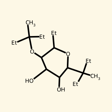 CCC1OC(C(C)(CC)CC)C(O)C(O)C1OC(C)(CC)CC